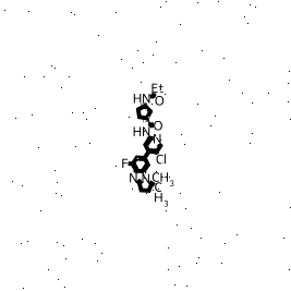 CCC(=O)N[C@@H]1CC[C@H](C(=O)Nc2cc(-c3cc(F)c4nc5n(c4c3)C(C)(C)CC5)c(Cl)cn2)C1